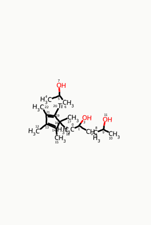 CC(C)O.CC(C)O.CC(C)O.CC1=C(C)C(C)(C)[C]([Ti])=C1C